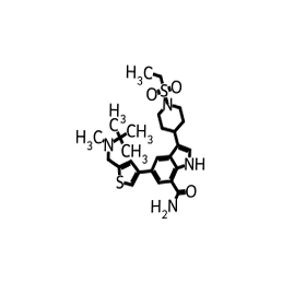 CCS(=O)(=O)N1CCC(c2c[nH]c3c(C(N)=O)cc(-c4csc(CN(C)C(C)(C)C)c4)cc23)CC1